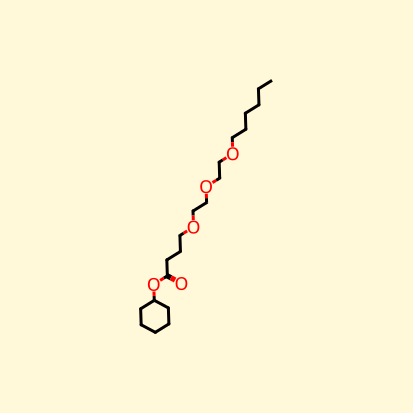 CCCCCCOCCOCCOCCCC(=O)OC1CCCCC1